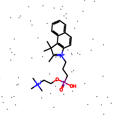 CC1=[N+](CCCP(=O)(O)OCC[N+](C)(C)C)c2ccc3ccccc3c2C1(C)C